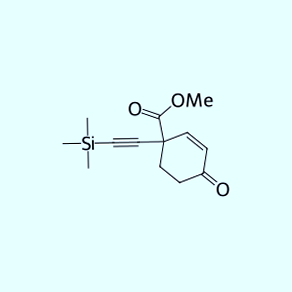 COC(=O)C1(C#C[Si](C)(C)C)C=CC(=O)CC1